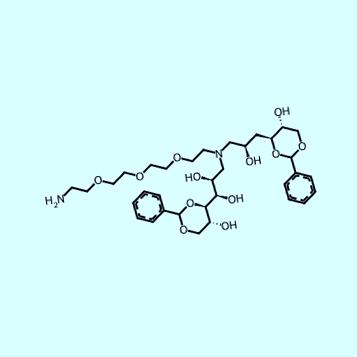 NCCOCCOCCOCCN(C[C@H](O)C[C@@H]1OC(c2ccccc2)OC[C@H]1O)C[C@H](O)[C@@H](O)[C@@H]1OC(c2ccccc2)OC[C@H]1O